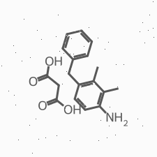 Cc1c(N)ccc(Cc2ccccc2)c1C.O=C(O)CC(=O)O